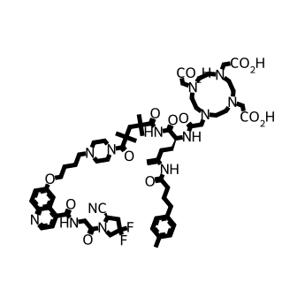 C=C(CC[C@H](NC(=O)CN1CCN(CC(=O)O)CCN(CC(=O)O)CCN(CC(=O)O)CC1)C(=O)NC(=O)C(C)(C)CC(C)(C)C(=O)N1CCN(CCCCOc2ccc3nccc(C(=O)NCC(=O)N4CC(F)(F)C[C@@H]4C#N)c3c2)CC1)NC(=O)CCCc1ccc(C)cc1